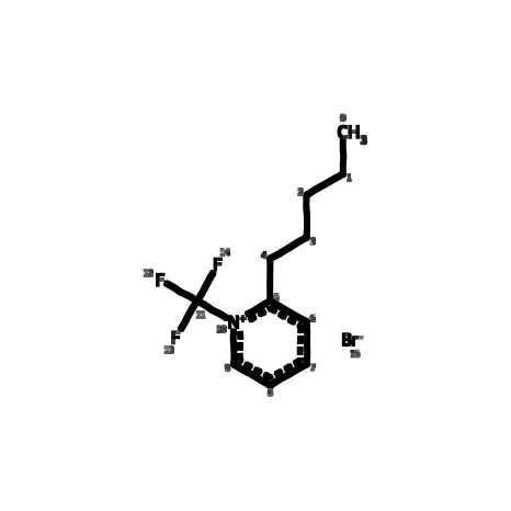 CCCCCc1cccc[n+]1C(F)(F)F.[Br-]